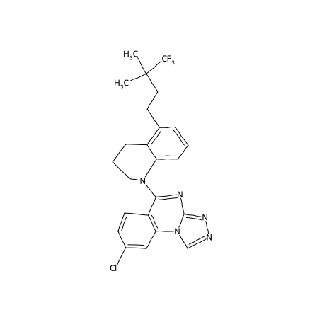 CC(C)(CCc1cccc2c1CCCN2c1nc2nncn2c2cc(Cl)ccc12)C(F)(F)F